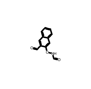 O=CNOc1cc2ccccc2cc1C=O